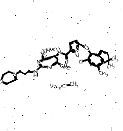 CC(=O)O.COc1nc(NCCCN2CCOCC2)nc(OC)c1NC(=O)c1ccc(Oc2c(Cl)cc(C)c3c2CCC3(C)C)o1